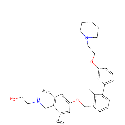 COc1cc(OCc2cccc(-c3cccc(OCCN4CCCCC4)c3)c2C)cc(OC)c1CNCCO